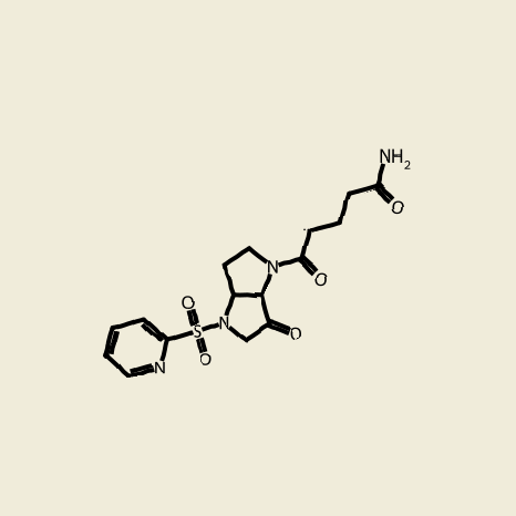 NC(=O)CC[CH]C(=O)N1CCC2C1C(=O)CN2S(=O)(=O)c1ccccn1